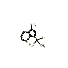 CCC(C)(C)n1cc(N)c2cccnc21